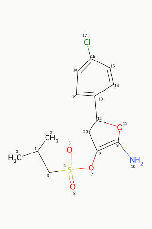 CC(C)CS(=O)(=O)OC1=C(N)OC(c2ccc(Cl)cc2)C1